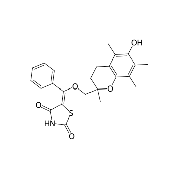 Cc1c(C)c2c(c(C)c1O)CCC(C)(COC(=C1SC(=O)NC1=O)c1ccccc1)O2